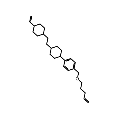 C=CCCCOCc1ccc(C2CCC(CCC3CCC(C=C)CC3)CC2)cc1